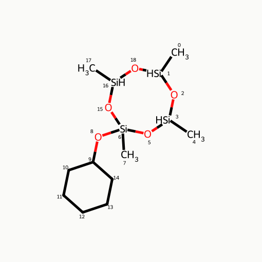 C[SiH]1O[SiH](C)O[Si](C)(OC2CCCCC2)O[SiH](C)O1